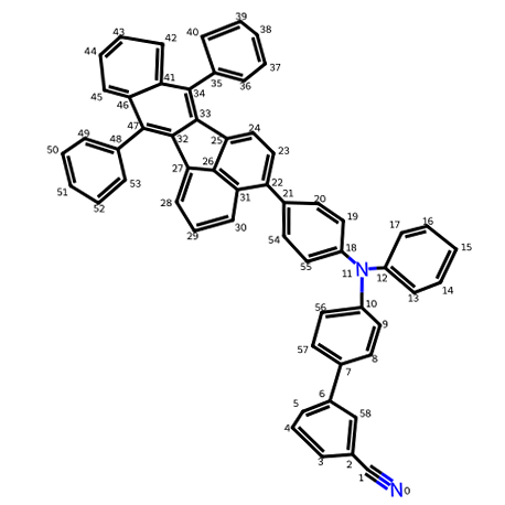 N#Cc1cccc(-c2ccc(N(c3ccccc3)c3ccc(-c4ccc5c6c(cccc46)-c4c-5c(-c5ccccc5)c5ccccc5c4-c4ccccc4)cc3)cc2)c1